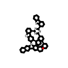 c1ccc(-c2ccc(-c3nc(-c4cccc5c4sc4ccccc45)nc(-c4cccc5oc6cc(-n7c8cc9ccccc9cc8c8cc9ccccc9cc87)c(-c7ccccc7)cc6c45)n3)cc2)cc1